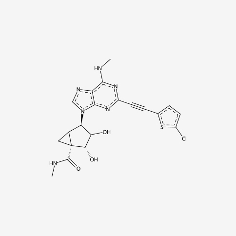 CNC(=O)[C@]12CC1[C@@H](n1cnc3c(NC)nc(C#Cc4ccc(Cl)s4)nc31)C(O)[C@@H]2O